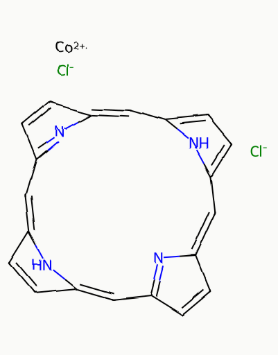 C1=Cc2cc3ccc(cc4nc(cc5ccc(cc1n2)[nH]5)C=C4)[nH]3.[Cl-].[Cl-].[Co+2]